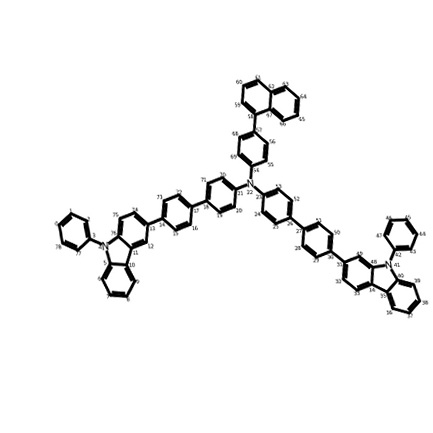 c1ccc(-n2c3ccccc3c3cc(-c4ccc(-c5ccc(N(c6ccc(-c7ccc(-c8ccc9c%10ccccc%10n(-c%10ccccc%10)c9c8)cc7)cc6)c6ccc(-c7cccc8ccccc78)cc6)cc5)cc4)ccc32)cc1